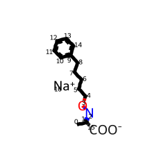 CC(=NOCCCCCc1ccccc1)C(=O)[O-].[Na+]